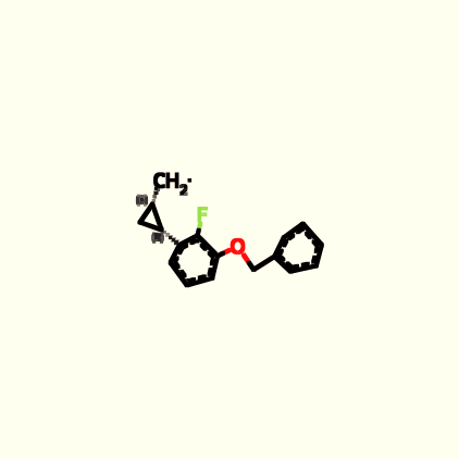 [CH2][C@H]1C[C@H]1c1cccc(OCc2ccccc2)c1F